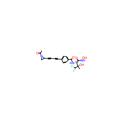 CC(=O)N1CC1C#CC#Cc1ccc(C(=O)N[C@H](C(=O)NO)C(C)(O)C(F)F)cc1